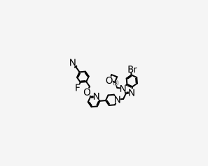 N#Cc1ccc(COc2cccc(C3=CCN(Cc4nc5ccc(Br)cc5n4C[C@@H]4CCO4)CC3)n2)c(F)c1